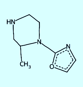 CC1CNCCN1c1ncco1